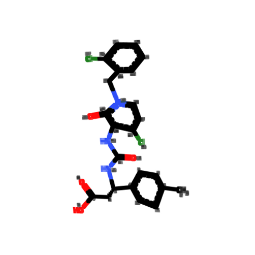 Cc1ccc([C@H](CC(=O)O)NC(=O)Nc2c(Cl)ccn(Cc3ccccc3Cl)c2=O)cc1